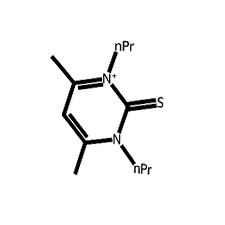 CCCn1c(C)cc(C)[n+](CCC)c1=S